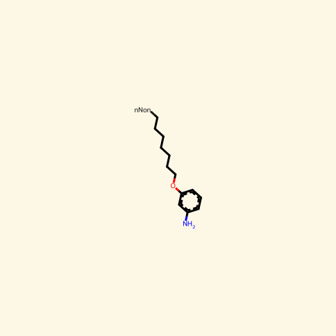 CCCCCCCCCCCCCCCCOc1cccc(N)c1